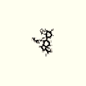 CC(=O)OC[C@H]1C[C@@H](C)CC[C@]1(C)C1CC[C@]2(C)C(=C(F)F)CCC2[C@@H]1CN=[N+]=[N-]